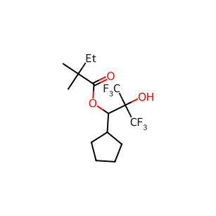 CCC(C)(C)C(=O)OC(C1CCCC1)C(O)(C(F)(F)F)C(F)(F)F